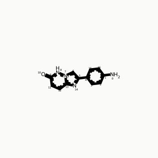 Nc1ccc(-c2cn3[nH]c(=O)ccc3n2)cc1